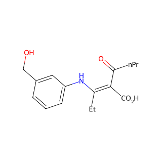 CCCC(=O)C(C(=O)O)=C(CC)Nc1cccc(CO)c1